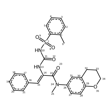 Cc1ccccc1S(=O)(=O)NC(=O)N/C(=C\c1ccccc1)C(=O)N(C)c1ccc2c(c1)CCCO2